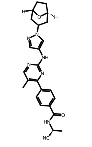 Cc1cnc(Nc2cnn(C3C[C@@H]4CC[C@@H](C3)O4)c2)nc1-c1ccc(C(=O)N[C@@H](C)C#N)cc1